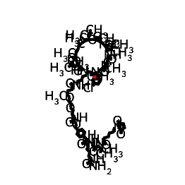 C/C=C(\C)[C@H]1OC(=O)[C@@H](C)NC(=O)[C@H]([C@H](C)CC)NC(=O)CN(C)C(=O)[C@@H](Cc2ccc(Cl)cc2)N(C)C(=O)[C@H](CCCCNC(=O)CCC(C)OCCOCCNC(=O)OCc2ccc(NC(=O)C(CCCNC(N)=O)NC(=O)[C@@H](NC(=O)CCCCCN3C(=O)C=CC3=O)C(C)C)cc2)NC(=O)[C@@H](CC(C)C)OC(=O)/C(C)=C/CC[C@@H]1C